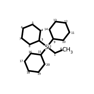 CC[Si](C1CCCCC1)(C1CCCCC1)C1CCCCC1